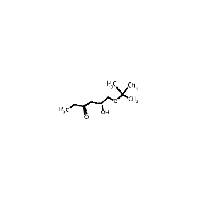 [CH2]CC(=O)C[C@H](O)[CH]OC(C)(C)C